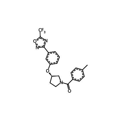 Cc1ccc(C(=O)N2CC[C@@H](Oc3cccc(-c4noc(C(F)(F)F)n4)c3)C2)cc1